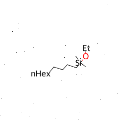 CCCCCCCCCC[Si](C)(C)OCC